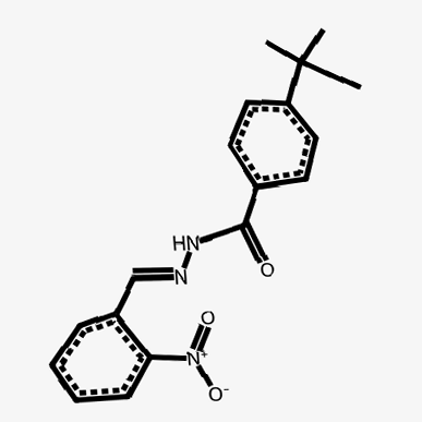 CC(C)(C)c1ccc(C(=O)NN=Cc2ccccc2[N+](=O)[O-])cc1